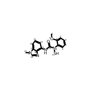 COc1ccccc1N(S)C(=O)Nc1cccc2c1ncn2C